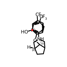 Oc1cc(C(F)(F)F)ccc1O[C@H]1C2CC[C@@H]1CN(c1ccc(C(F)(F)F)cn1)C2